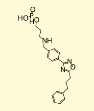 O=[PH](O)OCCCNCc1ccc(-c2noc(CCCc3ccccc3)n2)cc1